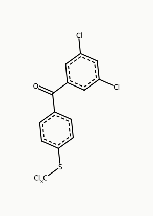 O=C(c1ccc(SC(Cl)(Cl)Cl)cc1)c1cc(Cl)cc(Cl)c1